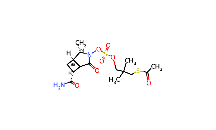 CC(=O)SCC(C)(C)COS(=O)(=O)ON1C(=O)C2[C@@H](C[C@H]2C(N)=O)[C@@H]1C